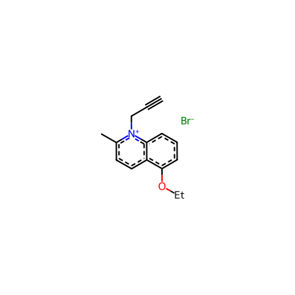 C#CC[n+]1c(C)ccc2c(OCC)cccc21.[Br-]